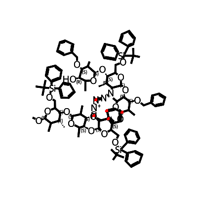 CO[C@H]1OC(CO[Si](c2ccccc2)(c2ccccc2)C(C)(C)C)[C@@H](O[C@@H]2OC(C)[C@H](O[C@@H]3OC(CO[Si](c4ccccc4)(c4ccccc4)C(C)(C)C)[C@@H](O[C@@H]4OC(C)[C@H](O[C@@H]5OC(CO[Si](c6ccccc6)(c6ccccc6)C(C)(C)C)[C@@H](O[C@@H]6OC(C)[C@@H](O)[C@@H](OCc7ccccc7)C6C)[C@H](C)C5N=[N+]=[N-])[C@@H](OCc5ccccc5)C4C)[C@H](C)C3N=[N+]=[N-])[C@@H](OCc3ccccc3)C2C)[C@H](C)C1C